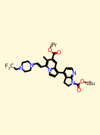 Cc1c(C(=O)OC(C)C)cc2c(-c3ccnc4c3CCN4C(=O)OC(C)(C)C)ccn2c1C=CN1CCN(CC(F)(F)F)CC1